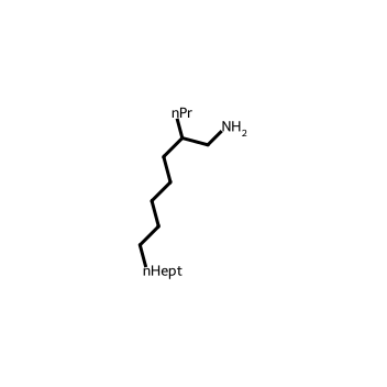 CCCCCCCCCCCCC(CN)CCC